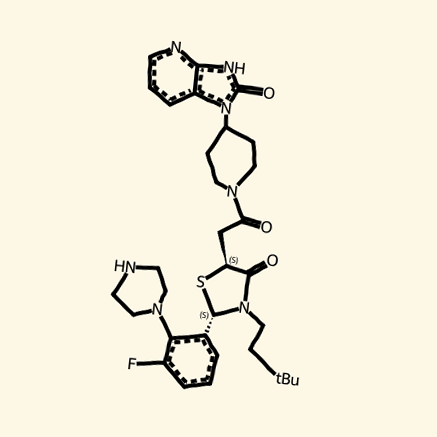 CC(C)(C)CCN1C(=O)[C@H](CC(=O)N2CCC(n3c(=O)[nH]c4ncccc43)CC2)S[C@H]1c1cccc(F)c1N1CCNCC1